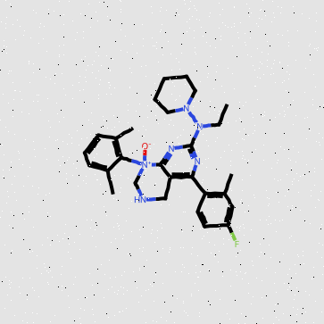 CCN(c1nc(-c2ccc(F)cc2C)c2c(n1)[N+]([O-])(c1c(C)cccc1C)CNC2)N1CCCCC1